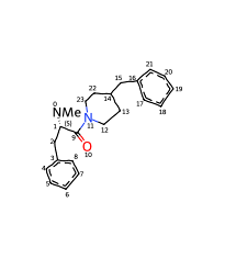 CN[C@@H](Cc1ccccc1)C(=O)N1CCC(Cc2ccccc2)CC1